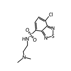 CN(C)CCNS(=O)(=O)c1ccc(Cl)c2nsnc12